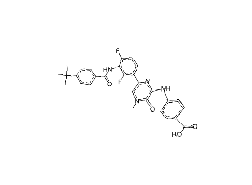 Cn1cc(-c2ccc(F)c(NC(=O)c3ccc(C(C)(C)C)cc3)c2F)nc(Nc2ccc(C(=O)O)cc2)c1=O